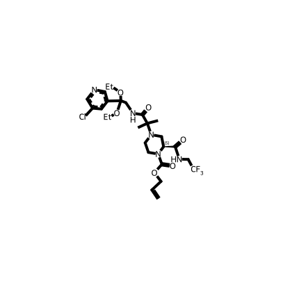 C=CCOC(=O)N1CCN(C(C)(C)C(=O)NCC(OCC)(OCC)c2cncc(Cl)c2)C[C@H]1C(=O)NCC(F)(F)F